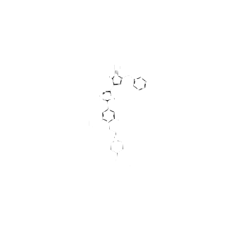 CCn1nc(-c2nc(-c3cc(C)c(CCN4CCC(C(=O)O)CC4)c(C)c3)no2)cc1Cc1ccccc1